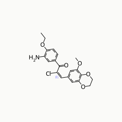 CCOc1ccc(C(=O)/C(Cl)=C\c2cc(OC)c3c(c2)OCCO3)cc1N